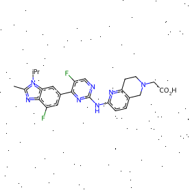 Cc1nc2c(F)cc(-c3nc(Nc4ccc5c(n4)CCN(CC(=O)O)C5)ncc3F)cc2n1C(C)C